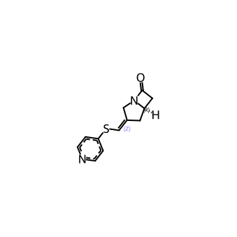 O=C1C[C@H]2C/C(=C/Sc3ccncc3)CN12